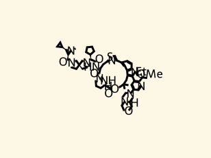 CCn1c(-c2cc(N3CCN4CCOC[C@@H]4C3)cnc2[C@H](C)OC)c2c3cc(ccc31)-c1csc(n1)C[C@H](NC(=O)[C@H](C1CCCC1)N1CC[C@]3(CCN(C(=O)[C@H]4[C@@H](C5CC5)N4C)C3)C1)C(=O)N1CCC[C@H](N1)C(=O)OCC(C)(C)C2